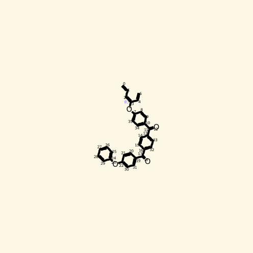 C=C/C=C(\C=C)Oc1ccc(C(=O)c2ccc(C(=O)c3ccc(Oc4ccccc4)cc3)cc2)cc1